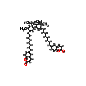 CCCCCCCCC1(CCCCCCCC)c2cc(C)c(CCCCCCCCc3ccc4oc(=O)ccc4c3)cc2-c2cc(CCCCCCCCc3ccc4oc(=O)ccc4c3)c(C)cc21